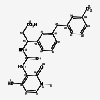 Cn1ccc(O)c(NC(=O)NC(CC(=O)O)c2cccc(Cc3cccc(C(F)(F)F)c3)c2)c1=O